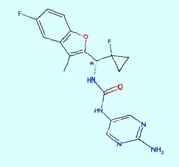 Cc1c([C@@H](NC(=O)Nc2cnc(N)nc2)C2(F)CC2)oc2ccc(F)cc12